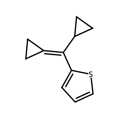 c1csc(C(=C2CC2)C2CC2)c1